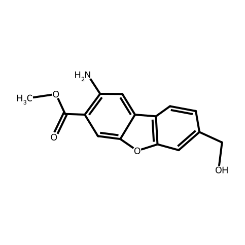 COC(=O)c1cc2oc3cc(CO)ccc3c2cc1N